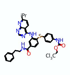 CC(C)c1ccc2c(Nc3cc(C(=O)NCCc4ccccc4)ccc3Sc3ccc(NC(=O)OCC(Cl)(Cl)Cl)cc3)ncnc2n1